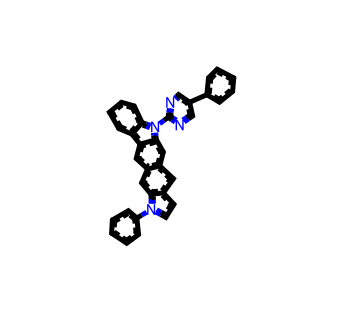 c1ccc(-c2cnc(-n3c4ccccc4c4cc5cc6c(ccn6-c6ccccc6)cc5cc43)nc2)cc1